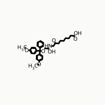 COc1ccc(C(OCC(O)NCC(=O)CCCCCCC(=O)O)(c2ccccc2)c2ccc(OC)cc2)cc1